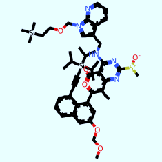 COCOc1cc(-c2oc(=O)c3c(NCc4cn(COCC[Si](C)(C)C)c5ncccc45)nc([S+](C)[O-])nc3c2C)c2c(C#C[Si](C(C)C)(C(C)C)C(C)C)cccc2c1